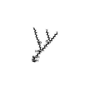 CCCCCCCCCCCOC(=O)CCCCCN(CCCCCCCC(=O)OC(CCCCCCCC)CCCCCCCC)CC(O)CCCCNC(=O)c1ncc[nH]1